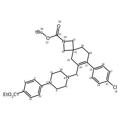 CCOC(=O)c1ccc(N2CCN(CC3=C(c4ccc(Cl)cc4)CCC4(C3)CN(C(=O)OC(C)(C)C)C4)CC2)cc1